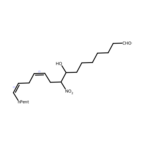 CCCCC/C=C\C/C=C\CC(C(O)CCCCCC[C]=O)[N+](=O)[O-]